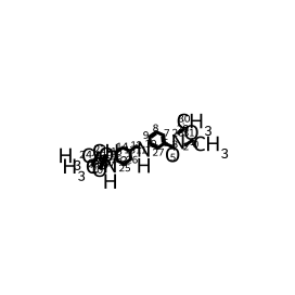 C[C@@H]1CN(C(=O)c2cccc(NCC3CCC(NS(=O)(=O)C(C)(C)C)CC3)c2)C[C@H](C)O1